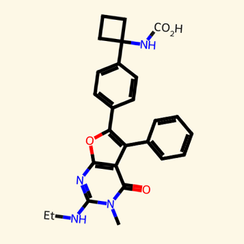 CCNc1nc2oc(-c3ccc(C4(NC(=O)O)CCC4)cc3)c(-c3ccccc3)c2c(=O)n1C